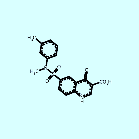 Cc1cccc(N(C)S(=O)(=O)c2ccc3[nH]cc(C(=O)O)c(=O)c3c2)c1